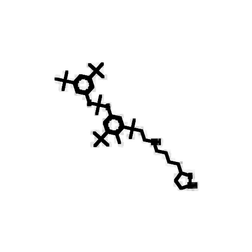 Cc1c(C(C)(C)C)cc(SC(C)(C)Sc2cc(C(C)(C)C)cc(C(C)(C)C)c2)cc1C(C)(C)CCNCCCCC1CCNS1